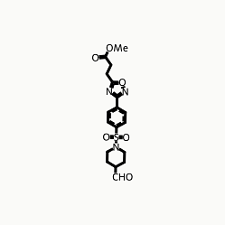 COC(=O)CCc1nc(-c2ccc(S(=O)(=O)N3CCC(C=O)CC3)cc2)no1